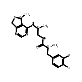 C[C@@H]1SCc2ncnc(N[C@@H](C)CNC(=O)[C@H](N)Cc3ccc(Cl)c(F)c3)c21